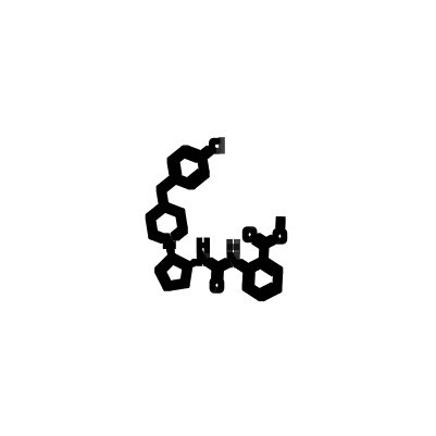 COC(=O)c1ccccc1NC(=O)N[C@@H]1CCC[C@H]1N1CCC(Cc2ccc(Cl)cc2)CC1